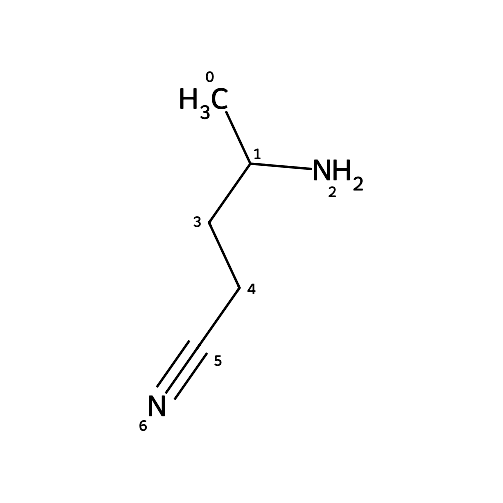 CC(N)CCC#N